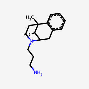 CC1C2Cc3ccccc3C1(C)CCN2CCCN